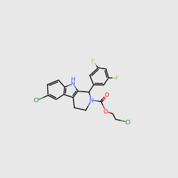 O=C(OCCCl)N1CCc2c([nH]c3ccc(Cl)cc23)C1c1cc(F)cc(F)c1